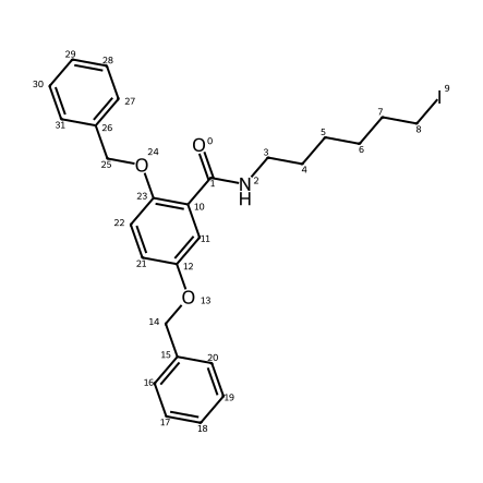 O=C(NCCCCCCI)c1cc(OCc2ccccc2)ccc1OCc1ccccc1